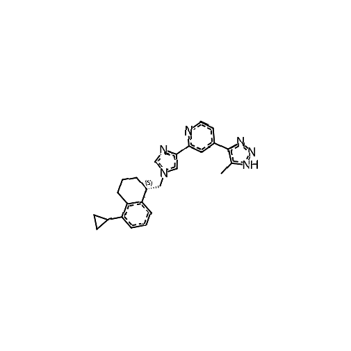 Cc1[nH]nnc1-c1ccnc(-c2cn(C[C@H]3CCCc4c(C5CC5)cccc43)cn2)c1